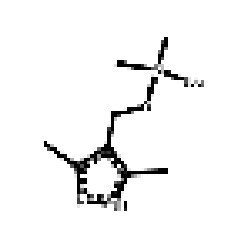 Cc1n[nH]c(C)c1CO[Si](C)(C)C(C)(C)C